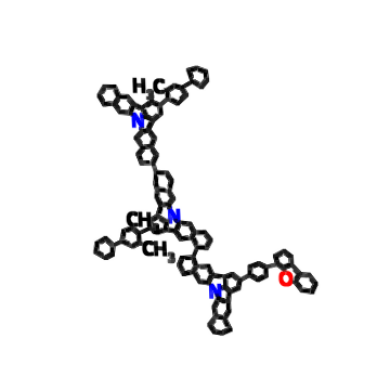 Cc1cc(-c2ccccc2)ccc1-c1cc2c3cc4ccccc4cc3n3c4cc5ccc(-c6ccc7cc8c(cc7c6)c6cc(-c7c(C)cc(-c9ccccc9)cc7C)cc7c9cc%10c(-c%11cccc%12cc%13c(cc%11%12)c%11cc(-c%12ccc(-c%14cccc%15c%14oc%14ccccc%14%15)cc%12)cc%12c%14cc%15ccccc%15cc%14n%13c%12%11)cccc%10cc9n8c67)cc5cc4c(c1)c23